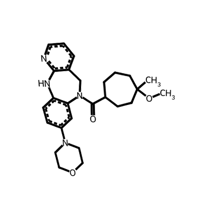 COC1(C)CCCC(C(=O)N2Cc3cccnc3Nc3ccc(N4CCOCC4)cc32)CC1